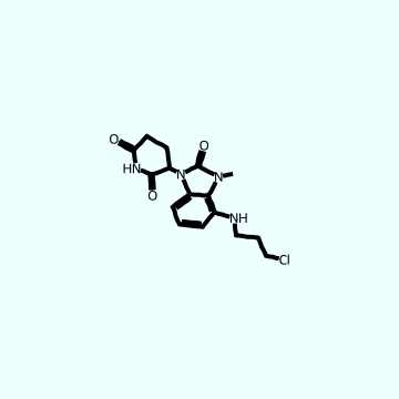 Cn1c(=O)n(C2CCC(=O)NC2=O)c2cccc(NCCCCl)c21